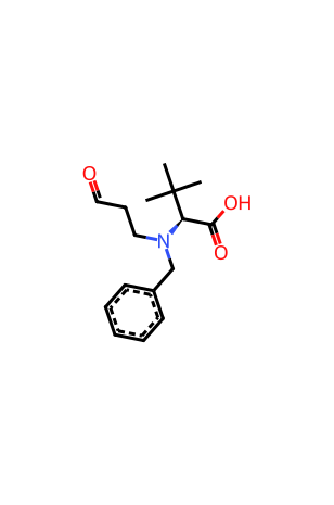 CC(C)(C)[C@@H](C(=O)O)N(CCC=O)Cc1ccccc1